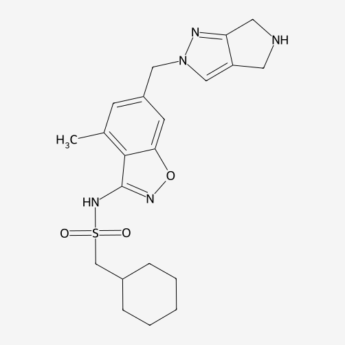 Cc1cc(Cn2cc3c(n2)CNC3)cc2onc(NS(=O)(=O)CC3CCCCC3)c12